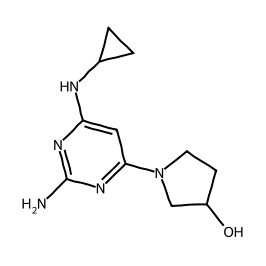 Nc1nc(NC2CC2)cc(N2CCC(O)C2)n1